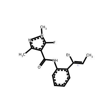 C/C=C(\CC)c1ccccc1NC(=O)c1c(C)nn(C)c1F